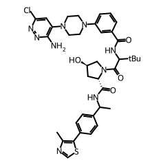 Cc1ncsc1-c1ccc(C(C)NC(=O)[C@@H]2C[C@@H](O)CN2C(=O)C(NC(=O)c2cccc(N3CCN(c4cc(Cl)nnc4N)CC3)c2)C(C)(C)C)cc1